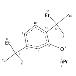 C[CH]COc1cc(C(C)(C)CC)ccc1C(C)(C)CC